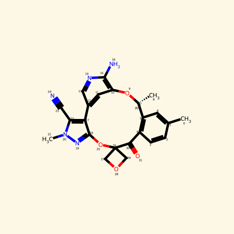 Cc1ccc2c(c1)[C@@H](C)Oc1cc(cnc1N)-c1c(nn(C)c1C#N)OC1(COC1)C2=O